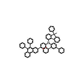 CC1(c2ccccc2)c2ccccc2-c2c(N(c3ccc(-c4ccc5c(c4)c(-c4ccccc4)c(-c4ccccc4)c4ccccc45)cc3)c3ccc(-c4ccccc4)cc3-c3ccccc3)cccc21